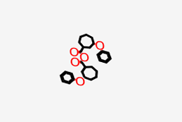 O=C(OC(=O)C1CCCCC(Oc2ccccc2)C1)C1CCCCC(Oc2ccccc2)C1